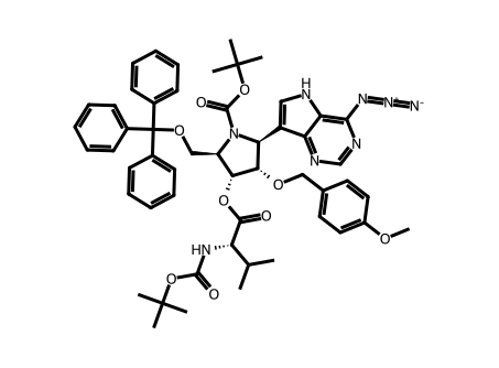 COc1ccc(CO[C@@H]2[C@H](OC(=O)[C@@H](NC(=O)OC(C)(C)C)C(C)C)[C@@H](COC(c3ccccc3)(c3ccccc3)c3ccccc3)N(C(=O)OC(C)(C)C)[C@H]2c2c[nH]c3c(N=[N+]=[N-])ncnc23)cc1